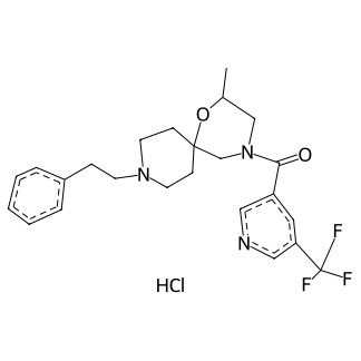 CC1CN(C(=O)c2cncc(C(F)(F)F)c2)CC2(CCN(CCc3ccccc3)CC2)O1.Cl